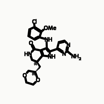 COc1c(Cl)cccc1Nc1c(-c2ccnc(N)n2)[nH]c2c1C(=O)NC[C@@H]2C[C@H]1COCCO1